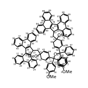 COc1ccc(C(OC(C2=CCC(CC3c4c(c5ccccc5c5ccccc45)-c4c3c3ccccc3c3ccccc43)(OC)C=C2)(c2ccccc2)c2ccc(OC)cc2)(C2=CCC(CC3c4c(c5ccccc5c5ccccc45)-c4c3c3ccccc3c3ccccc43)(OC)C=C2)c2ccccc2)cc1